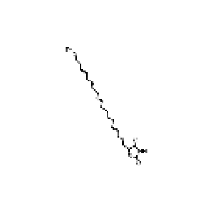 CCC=CCC=CCC=CCC=CCC=CCC=CCCCC1SC(=O)NC1=O